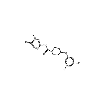 Cn1nc(OC(=O)N2CCC(Oc3cc(F)cc(F)c3)CC2)ccc1=O